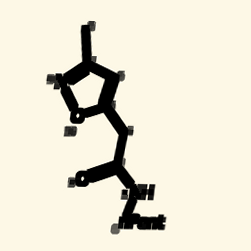 CCCCCNC(=O)Cc1cc(C)no1